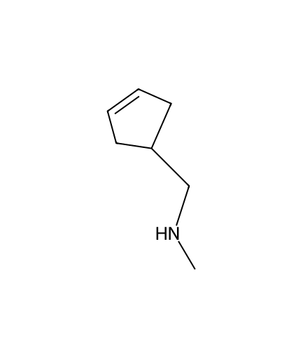 CNCC1CC=CC1